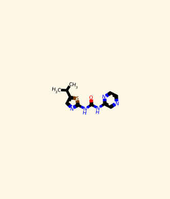 CC(C)c1cnc(NC(=O)Nc2cnccn2)s1